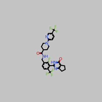 O=C(NCc1ccc(C(F)(F)F)c(-c2nc3c(c(=O)[nH]2)CCC3)c1F)C1CCN(c2ccc(C(F)(F)F)cn2)CC1